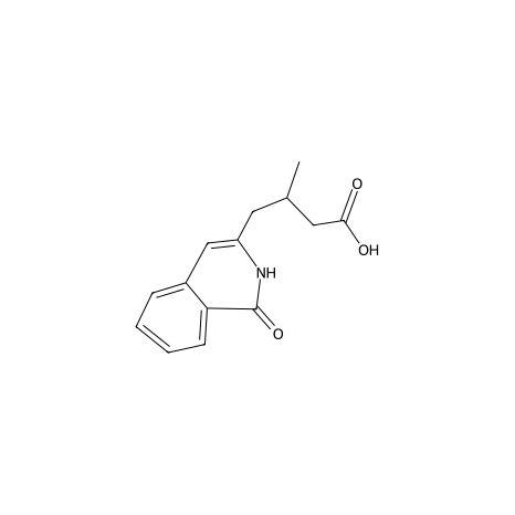 CC(CC(=O)O)Cc1cc2ccccc2c(=O)[nH]1